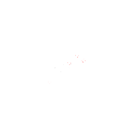 CC(C=O)CCCC1(C)CCCC2(CO1)OCCO2